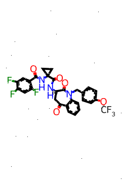 O=C(NC1(C(=O)N[C@@H]2CC(=O)c3ccccc3N(Cc3ccc(OC(F)(F)F)cc3)C2=O)CC1)c1cc(F)c(F)cc1F